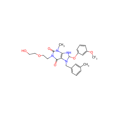 Cc1cccc(CN2c3c(n(C)c(=O)n(CCOCCO)c3=O)NC2Oc2cccc(OC(F)(F)F)c2)c1